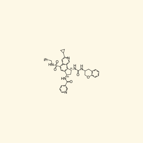 CC(C)CNS(=O)(=O)c1cc2c(c3cnc(C4CC4)cc13)[C@H](NC(=O)NC1COc3ccccc3C1)C[C@H]2NC(=O)c1cccnc1